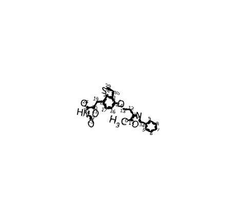 Cc1oc(-c2ccccc2)nc1CCOc1ccc(CC2OC(=O)NC2=O)c2sccc12